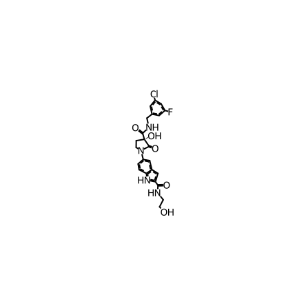 O=C(NCCO)c1cc2cc(N3CC[C@@](O)(C(=O)NCc4cc(F)cc(Cl)c4)C3=O)ccc2[nH]1